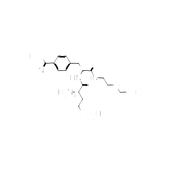 CC(=N)c1ccc(C[C@H](NC(=O)[C@H](N)CCC(=O)O)C(=O)NCCOCC=O)cc1